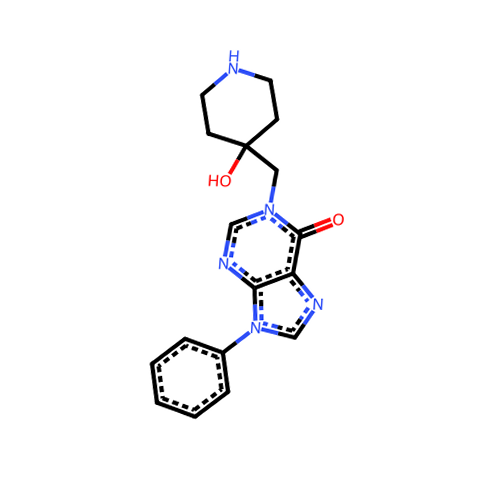 O=c1c2ncn(-c3ccccc3)c2ncn1CC1(O)CCNCC1